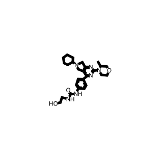 CC1COCCN1c1nc2c(c(-c3ccc(NC(=O)NCCO)cc3)n1)CN(C1CCCCC1)C2